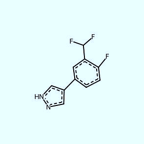 Fc1ccc(-c2cn[nH]c2)cc1C(F)F